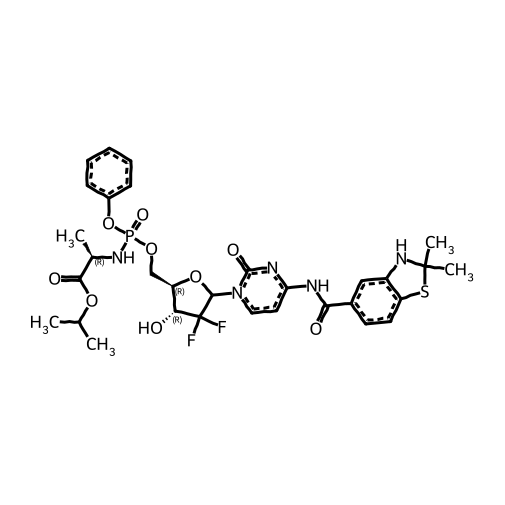 CC(C)OC(=O)[C@@H](C)NP(=O)(OC[C@H]1OC(n2ccc(NC(=O)c3ccc4c(c3)NC(C)(C)S4)nc2=O)C(F)(F)[C@@H]1O)Oc1ccccc1